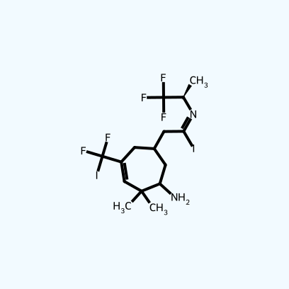 C[C@@H](/N=C(/I)CC1CC(C(F)(F)I)=CC(C)(C)C(N)C1)C(F)(F)F